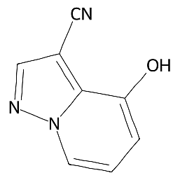 N#Cc1cnn2cccc(O)c12